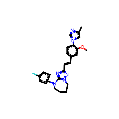 COc1cc(C=Cc2nc3n(n2)CCCCN3c2ccc(F)cc2)ccc1-n1cnc(C)c1